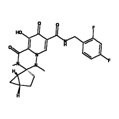 CN1C(=O)c2c(O)c(=O)c(C(=O)NCc3ccc(F)cc3F)cn2N(C)[C@]12CC[C@@H]1C[C@@H]12